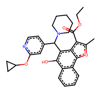 CCOC(=O)c1c(C)oc2c1c(C(c1ccnc(OC3CC3)c1)N1CCCCC1)c(O)c1ccccc12